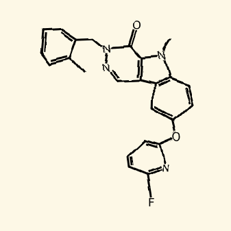 Cc1ccccc1Cn1ncc2c3cc(Oc4cccc(F)n4)ccc3n(C)c2c1=O